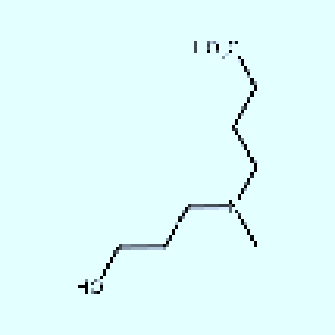 CN(CCCO)CCCC(=O)O